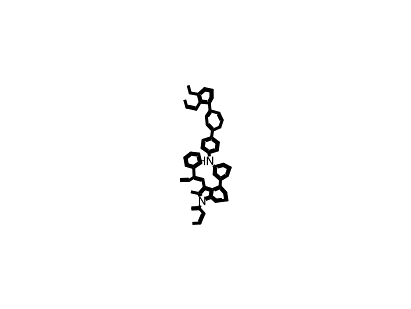 C=C/C(=C\c1c(C)n(C(=C)/C=C\C)c2cccc(-c3cccc(Nc4ccc(C5=CC=C(c6cccc(CC)c6/C=C\C)C=CC5)cc4)c3)c12)c1ccccc1